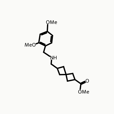 COC(=O)C1CC2(CC(CNCc3ccc(OC)cc3OC)C2)C1